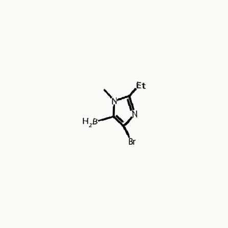 Bc1c(Br)nc(CC)n1C